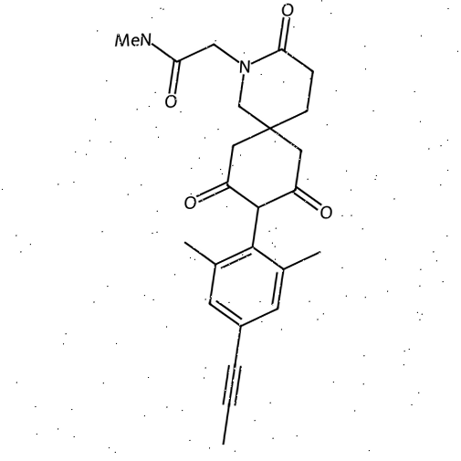 CC#Cc1cc(C)c(C2C(=O)CC3(CCC(=O)N(CC(=O)NC)C3)CC2=O)c(C)c1